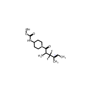 C/C=C(\C)C(F)(F)C(N)C(=O)N1CCC(NC(=O)OC(C)(C)C)CC1